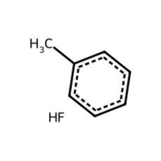 Cc1ccccc1.F